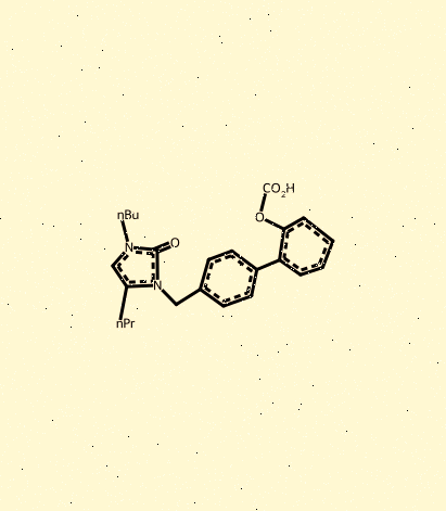 CCCCn1cc(CCC)n(Cc2ccc(-c3ccccc3OC(=O)O)cc2)c1=O